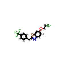 FC(F)(F)c1ccc(Cc2nc3ccc(OCCBr)cc3s2)cc1